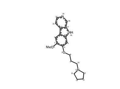 COc1cc2c(cc1OCCCN1CCCC1)[nH]c1cnccc12